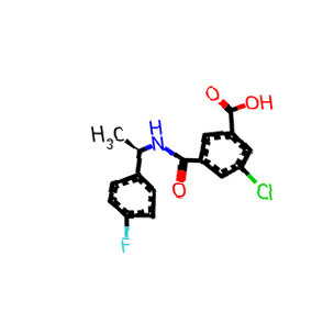 C[C@@H](NC(=O)c1cc(Cl)cc(C(=O)O)c1)c1ccc(F)cc1